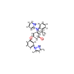 Cc1cc(C)n(-c2cccc(OC3=CC4=C(C(=O)C3)C(C)(C)c3ccccc3N4c3ccccn3)c2)n1